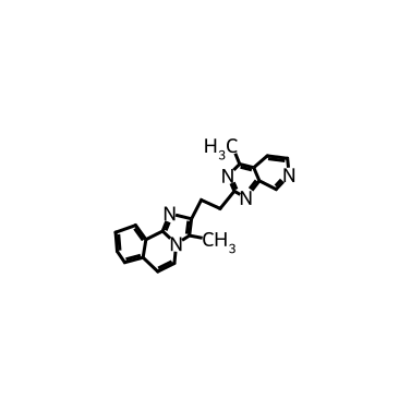 Cc1nc(CCc2nc3c4ccccc4ccn3c2C)nc2cnccc12